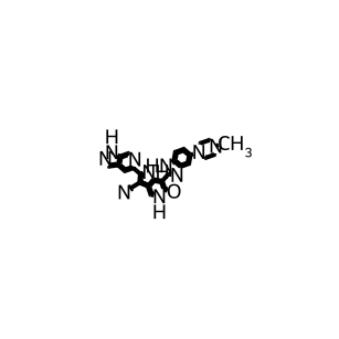 CN1CCN(c2ccc3[nH]c(-c4c(=O)[nH]cc5c(C#N)c(-c6cc7cn[nH]c7cn6)[nH]c45)nc3c2)CC1